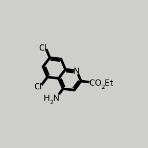 CCOC(=O)c1cc(N)c2c(Cl)cc(Cl)cc2n1